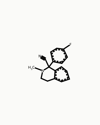 CN1CCc2ccccc2C1(C#N)c1ccc(F)cc1